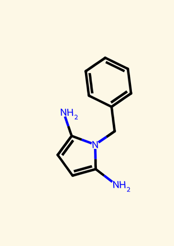 Nc1ccc(N)n1Cc1ccccc1